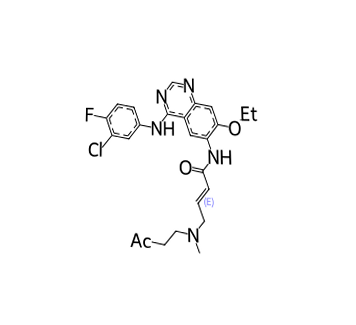 CCOc1cc2ncnc(Nc3ccc(F)c(Cl)c3)c2cc1NC(=O)/C=C/CN(C)CCC(C)=O